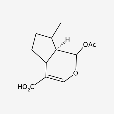 CC(=O)OC1OC=C(C(=O)O)C2CCC(C)[C@@H]12